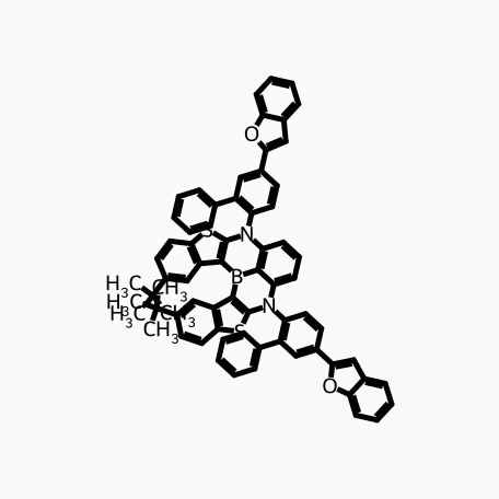 CC(C)(C)c1ccc2sc3c(c2c1)B1c2c(cccc2N(c2ccc(-c4cc5ccccc5o4)cc2-c2ccccc2)c2sc4ccc(C(C)(C)C)cc4c21)N3c1ccc(-c2cc3ccccc3o2)cc1-c1ccccc1